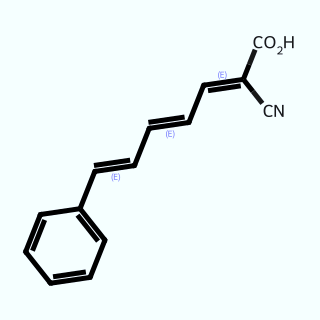 N#C\C(=C/C=C/C=C/c1ccccc1)C(=O)O